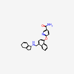 NC(=O)c1ccc(Oc2ccc(CN[C@@H]3CCC4=C3C=CCC4)c3ccccc23)nc1